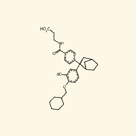 N#Cc1cc(C2(c3ccc(C(=O)NCCC(=O)O)cc3)CC3CCC2C3)ccc1OCC1CCCCC1